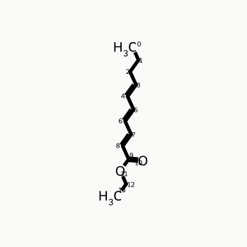 CCCC=CC=CC=CC(=O)OCC